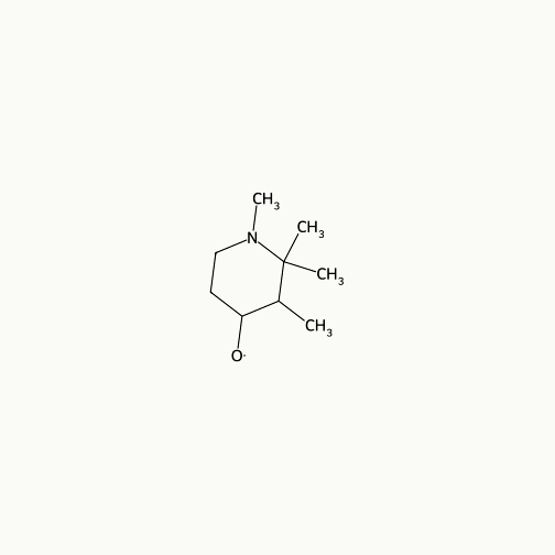 CC1C([O])CCN(C)C1(C)C